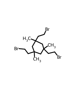 CC1(CCBr)CC(C)(CCBr)CC(C)(CCBr)C1